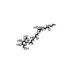 CCCNC(=O)CCOCC(N)(CO)COCCC(=O)NCCC(C)CO[C@@H]1OC(CO)[C@H](O)C(O)[C@@H]1NC(C)=O